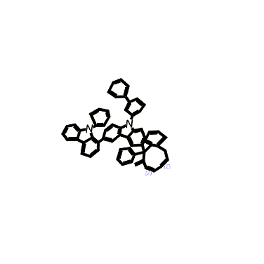 C=C1/C=C\C=C/Cc2ccccc2C1(c1ccccc1)c1ccc2c(c1)c1cc(-c3cccc4c5ccccc5n(-c5ccccc5)c34)ccc1n2-c1cccc(-c2ccccc2)c1